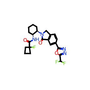 O=C1c2cc(-c3nnc(C(F)F)o3)ccc2CN1[C@@H]1CCCC[C@H]1NC(=O)C1(F)CCC1